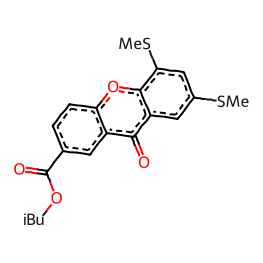 CCC(C)OC(=O)c1ccc2oc3c(SC)cc(SC)cc3c(=O)c2c1